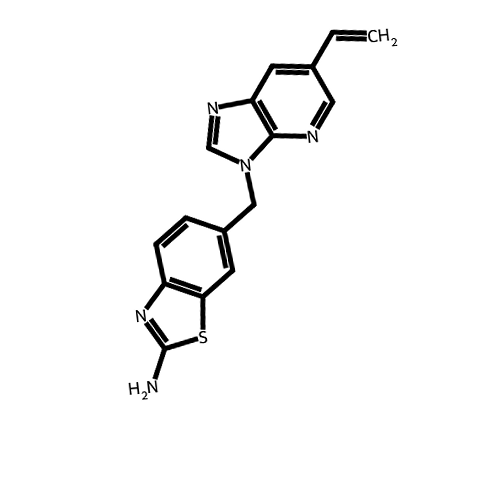 C=Cc1cnc2c(c1)ncn2Cc1ccc2nc(N)sc2c1